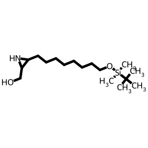 CC(C)(C)[Si](C)(C)OCCCCCCCCC1NC1CO